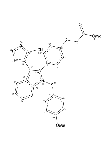 COC(=O)CCc1ccc(-c2c(-c3ccsc3C#N)c3ccccc3n2Sc2ccc(OC)cc2)cc1